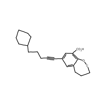 O=C(O)c1cc(C#CCCCC2CCCCC2)cc2c1OCCCC2